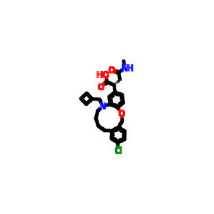 CNC(=O)C[C@@H](C(=O)O)c1ccc2c(c1)N(CC1CCC1)CCCCc1cc(Cl)ccc1CO2